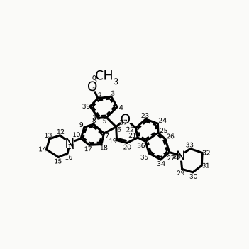 COc1ccc(C2(c3ccc(N4CCCCC4)cc3)C=Cc3c(ccc4cc(N5CCCCC5)ccc34)O2)cc1